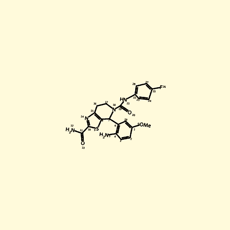 COc1ccc(N)c(C2c3sc(C(N)=O)nc3CCN2C(=O)Nc2ccc(F)cc2)c1